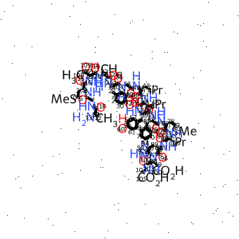 CSCC[C@H](NC(=O)CNC(=O)[C@H](C)N)C(=O)N[C@H](C(=O)N[C@@H](C)C(=O)N[C@@H](Cc1ccc(O)cc1)C(=O)NCC(=O)N[C@@H](CC(C)C)C(=O)N[C@@H](CC(C)C)C(=O)N[C@@H](Cc1ccc(O)cc1)C(=O)N[C@@H](Cc1ccccc1)C(=O)N[C@@H](CCSC)C(=O)N[C@H](C(=O)N[C@@H](Cc1c[nH]cn1)C(=O)N[C@@H](CC(=O)O)C(=O)NCC(=O)O)C(C)C)[C@@H](C)O